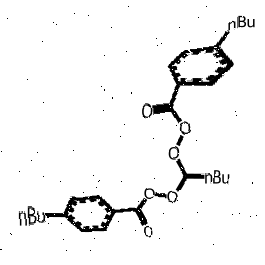 [CH2]CCC[C](OOC(=O)c1ccc(CCCC)cc1)OOC(=O)c1ccc(CCCC)cc1